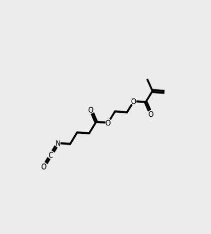 C=C(C)C(=O)OCCOC(=O)CCCN=C=O